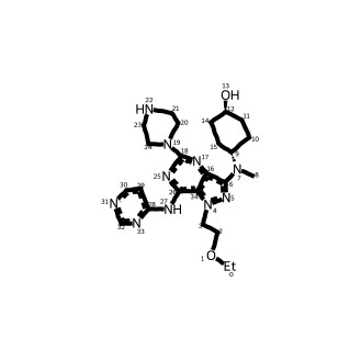 CCOCCn1nc(N(C)[C@H]2CC[C@H](O)CC2)c2nc(N3CCNCC3)nc(Nc3ccncn3)c21